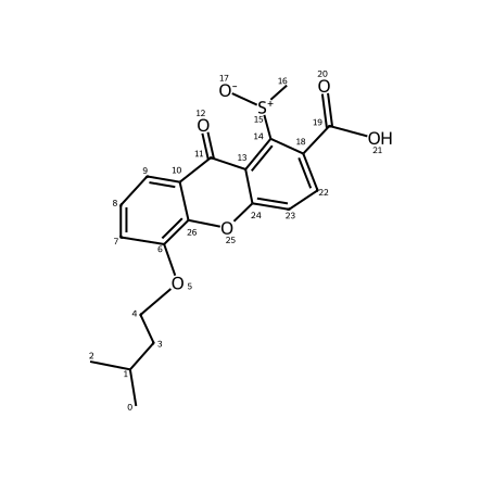 CC(C)CCOc1cccc2c(=O)c3c([S+](C)[O-])c(C(=O)O)ccc3oc12